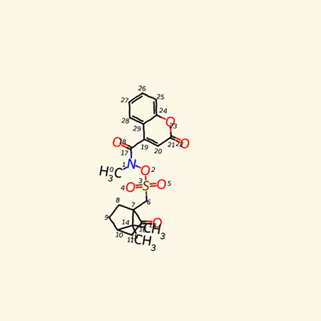 CN(OS(=O)(=O)CC12CCC(CC1=O)C2(C)C)C(=O)c1cc(=O)oc2ccccc12